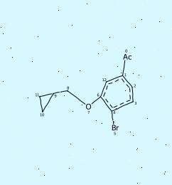 CC(=O)c1ccc(Br)c(OCC2CC2)c1